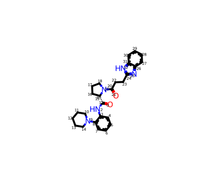 O=C(Nc1ccccc1N1CCCCC1)[C@@H]1CCCN1C(=O)CCc1nc2ccccc2[nH]1